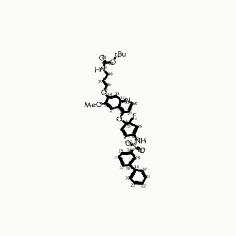 COc1cc2c(Oc3ccc(NS(=O)(=O)c4cccc(-c5ccccc5)c4)cc3F)ccnc2cc1OCCCNC(=O)OC(C)(C)C